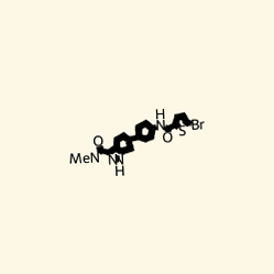 CNC(=O)c1n[nH]c2cc(-c3ccc(NC(=O)c4ccc(Br)s4)cc3)ccc12